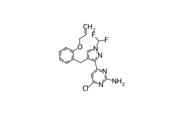 C=CCOc1ccccc1Cc1cn(C(F)F)nc1-c1cc(Cl)nc(N)n1